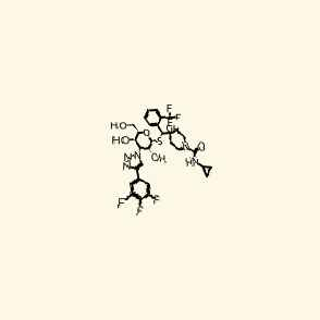 O=C(NC1CC1)N1CCC(O)([C@H](S[C@@H]2O[C@H](CO)[C@H](O)[C@H](n3cc(-c4cc(F)c(F)c(F)c4)nn3)[C@H]2O)c2ccccc2C(F)(F)F)CC1